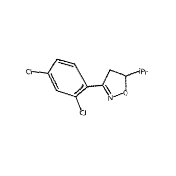 CC(C)C1CC(c2ccc(Cl)cc2Cl)=NO1